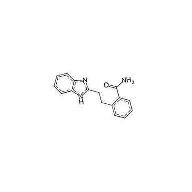 NC(=O)c1ccccc1C[CH]c1nc2ccccc2[nH]1